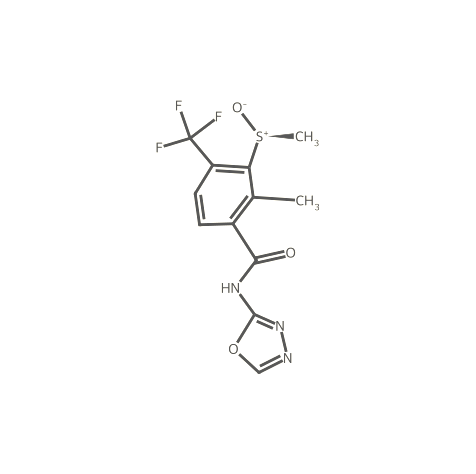 Cc1c(C(=O)Nc2nnco2)ccc(C(F)(F)F)c1[S@+](C)[O-]